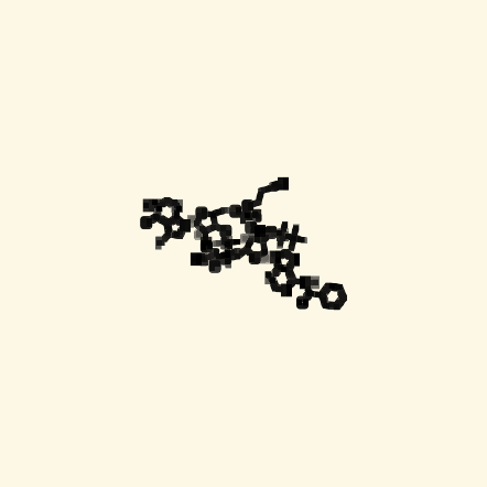 CC(C)(C)[Si](C)(C)OC1C2COP(=S)(OCCC#N)O[C@@H]3C(COP(=O)(S)O[C@H]1[C@H](n1cc(F)c4c(=O)[nH]cnc41)O2)O[C@@H](n1cnc2c(NC(=O)c4ccccc4)ncnc21)C3O[Si](C)(C)C(C)(C)C